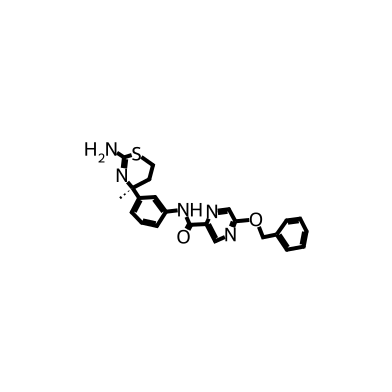 C[C@@]1(c2cccc(NC(=O)c3cnc(OCc4ccccc4)cn3)c2)CCSC(N)=N1